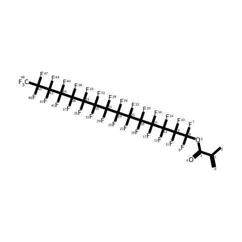 C=C(C)C(=O)OC(F)(F)C(F)(F)C(F)(F)C(F)(F)C(F)(F)C(F)(F)C(F)(F)C(F)(F)C(F)(F)C(F)(F)C(F)(F)C(F)(F)C(F)(F)C(F)(F)C(F)(F)F